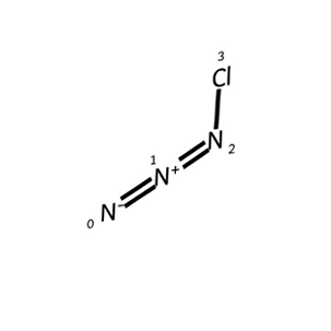 [N-]=[N+]=NCl